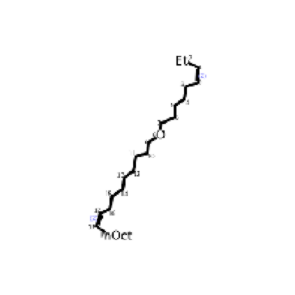 CC/C=C\CCCCCOCCCCCCCC/C=C\CCCCCCCC